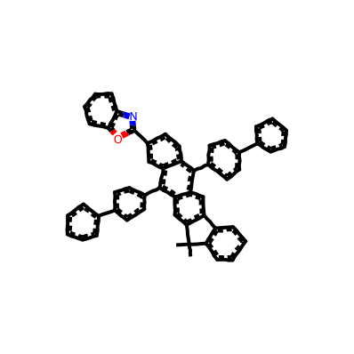 CC1(C)c2ccccc2-c2cc3c(-c4ccc(-c5ccccc5)cc4)c4ccc(-c5nc6ccccc6o5)cc4c(-c4ccc(-c5ccccc5)cc4)c3cc21